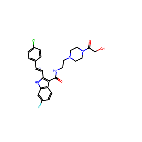 O=C(NCCN1CCN(C(=O)CO)CC1)c1c(/C=C/c2ccc(Cl)cc2)[nH]c2cc(F)ccc12